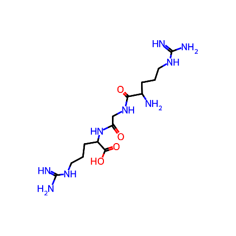 N=C(N)NCCCC(N)C(=O)NCC(=O)NC(CCCNC(=N)N)C(=O)O